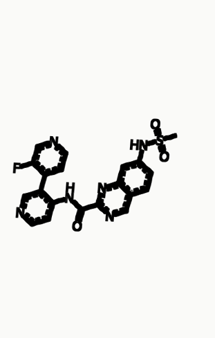 CS(=O)(=O)Nc1ccc2cnc(C(=O)Nc3ccncc3-c3ccncc3F)nc2c1